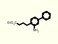 CCOC(=O)CCCc1ccc(-c2ccccc2)cc1N